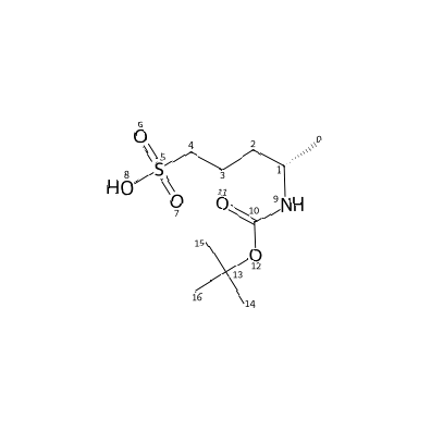 C[C@@H](CCCS(=O)(=O)O)NC(=O)OC(C)(C)C